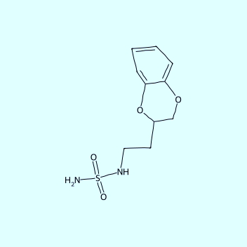 NS(=O)(=O)NCCC1COc2ccccc2O1